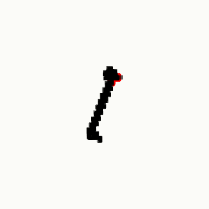 CCCCCCCCCCCCCCCCCCOc1ccccc1[O]